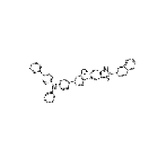 c1ccc(-c2ccc(N(c3ccccc3)c3ccc(-c4ccc5c(c4)oc4cc6nc(-c7ccc8ccccc8c7)sc6cc45)cc3)cc2)cc1